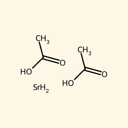 CC(=O)O.CC(=O)O.[SrH2]